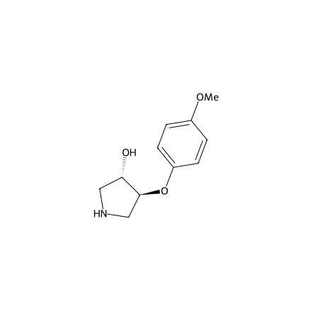 COc1ccc(O[C@H]2CNC[C@@H]2O)cc1